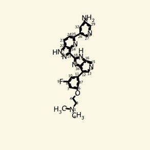 CN(C)CCOc1cc(F)cc(-c2cncc3[nH]c(-c4n[nH]c5ccc(-c6cncc(N)c6)nc45)nc23)c1